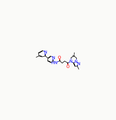 Cc1ccnc(-c2ccc(NC(=O)CCC(=O)N3C[C@@H](C)Cn4nc(C)cc43)nc2)c1